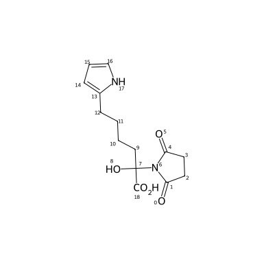 O=C1CCC(=O)N1C(O)(CCCCc1ccc[nH]1)C(=O)O